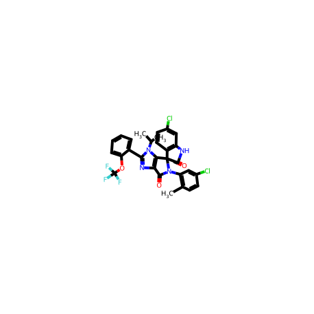 Cc1ccc(Cl)cc1N1C(=O)c2nc(-c3ccccc3OC(F)(F)F)n(C(C)C)c2C12C(=O)Nc1cc(Cl)ccc12